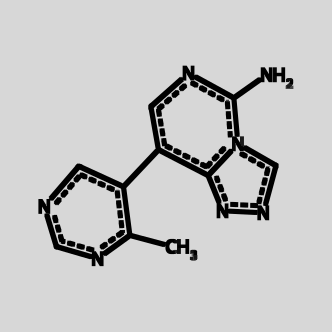 Cc1ncncc1-c1cnc(N)n2cnnc12